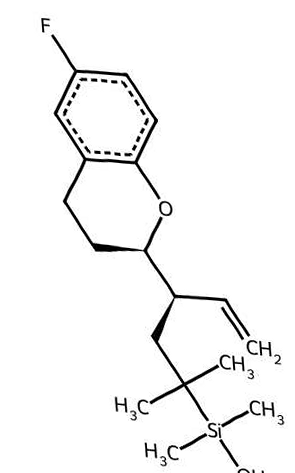 C=C[C@@H](CC(C)(C)[Si](C)(C)O)[C@H]1CCc2cc(F)ccc2O1